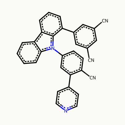 N#Cc1cc(C#N)cc(-c2cccc3c4ccccc4n(-c4ccc(C#N)c(-c5ccncc5)c4)c23)c1